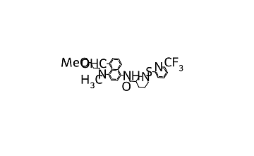 COCCCN(C)c1ccc(NC(=O)C2CCCN(Sc3cccc(C(F)(F)F)n3)C2)c2cccc(C=O)c12